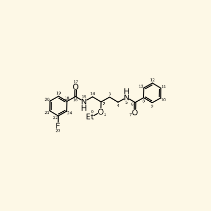 CCOC(CCNC(=O)c1ccccc1)CNC(=O)c1cccc(F)c1